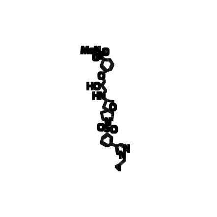 CNS(=O)(=O)c1cccc(OC[C@@H](O)CNC2COC3(CCN(S(=O)(=O)c4cccc(-c5cnn(CC6CC6)c5)c4)CC3)C2)c1